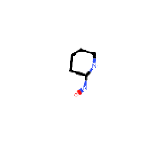 O=NC1CCCC[N]1